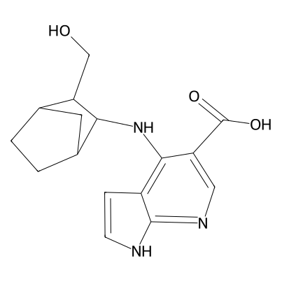 O=C(O)c1cnc2[nH]ccc2c1NC1C2CCC(C2)C1CO